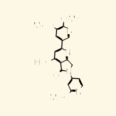 COc1cc(N2Cc3nc(-c4cnc(OC)c(OC)c4)cc(C)c3C2=O)ccn1